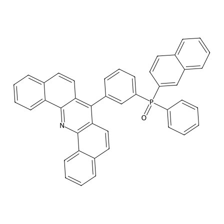 O=P(c1ccccc1)(c1cccc(-c2c3ccc4ccccc4c3nc3c2ccc2ccccc23)c1)c1ccc2ccccc2c1